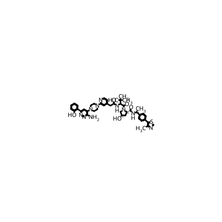 Cc1ncsc1-c1ccc([C@H](C)NC(=O)[C@@H]2C[C@@H](O)CN2C(=O)C(NC(=O)Cc2ccnc(N3CCN(c4cc(-c5ccccc5O)nnc4N)CC3)c2)C(C)(C)C)cc1